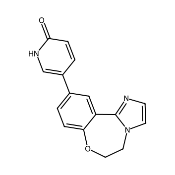 O=c1ccc(-c2ccc3c(c2)-c2nccn2CCO3)c[nH]1